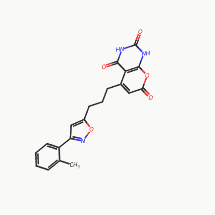 Cc1ccccc1-c1cc(CCCc2cc(=O)oc3[nH]c(=O)[nH]c(=O)c23)on1